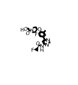 Cc1cc(-c2cc(NC(=O)[C@H]3C[C@@H]3F)ncn2)ccc1O[C@H]1CCN(C(=O)CO)C[C@H]1F